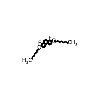 CCCCCCCCOc1ccc2c(ccc3c(F)c(OCCCCCCCC)ccc32)c1F